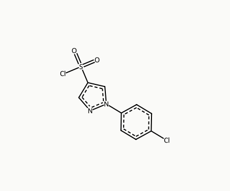 O=S(=O)(Cl)c1cnn(-c2ccc(Cl)cc2)c1